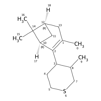 CC1=C(C2CCSCC2C)[C@@H]2C[C@H](C1)C2(C)C